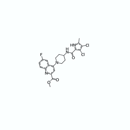 COC(=O)c1cc(N2CCC(NC(=O)c3[nH]c(C)c(Cl)c3Cl)CC2)c2cc(F)ccc2n1